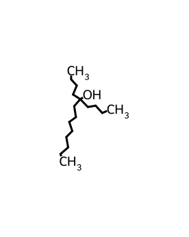 CCCCCCCCC(O)(CCCC)CCCC